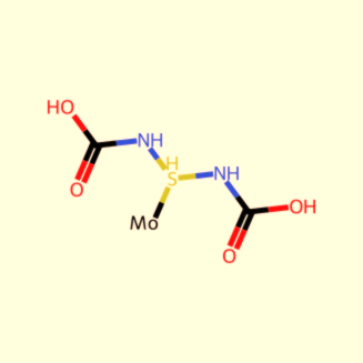 O=C(O)N[SH]([Mo])NC(=O)O